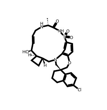 C[C@H]1NCC=C[C@H](O)[C@@H]2CC[C@H]2CN2C[C@@]3(CCCc4cc(Cl)ccc43)COc3ccc(cc32)S(=O)(=O)NC1=O